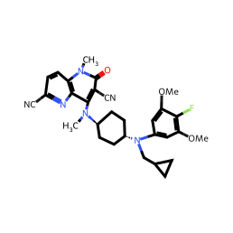 COc1cc(N(CC2CC2)[C@H]2CC[C@H](N(C)c3c(C#N)c(=O)n(C)c4ccc(C#N)nc34)CC2)cc(OC)c1F